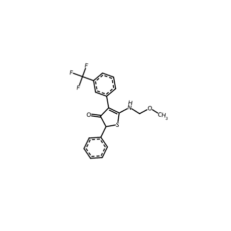 COCNC1=C(c2cccc(C(F)(F)F)c2)C(=O)C(c2ccccc2)S1